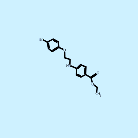 CCOC(=O)c1ccc(NCCOc2ccc(Br)cc2)cc1